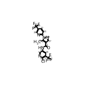 Cc1c(C(=O)Nc2cnc(Cl)c(C(F)(F)F)c2)cnn1-c1ccc(C(F)(F)F)cn1